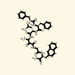 CC(C)C[C@H](NC(=O)[C@H](Cc1ccccc1)NC(=O)OCc1ccccc1)C(=O)NC(C)C(=O)C(=O)NCC(=O)N[C@@H](Cc1ccc2ccccc2c1)C(N)=O